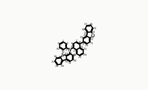 c1ccc(N(c2ccc(-c3ccc4oc5ccccc5c4c3)c3ccccc23)c2cccc3c2sc2ccccc23)cc1